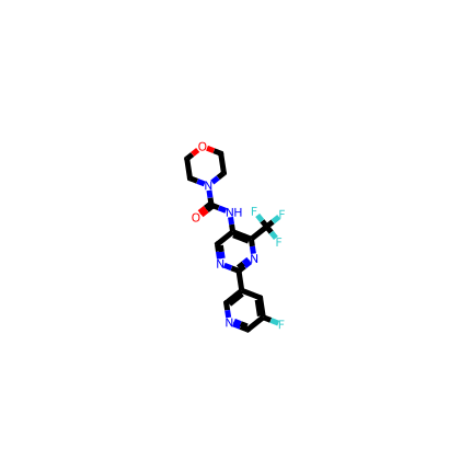 O=C(Nc1cnc(-c2cncc(F)c2)nc1C(F)(F)F)N1CCOCC1